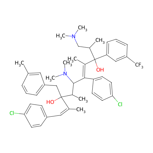 CC(=Cc1ccc(Cl)cc1)C(O)(Cc1cccc(C)c1)C(C)C(C(=C(C)C(O)(c1cccc(C(F)(F)F)c1)C(C)CN(C)C)c1ccc(Cl)cc1)N(C)C